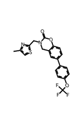 Cc1csc(CN2Cc3cc(-c4ccc(OC(F)(F)F)cc4)ccc3OC2=O)n1